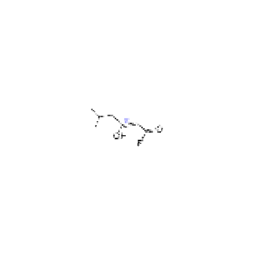 CC(C)C/C(O)=C/C(=O)F